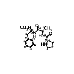 C[C@H](NC(=O)[C@@H]1CCCN1)C(=O)N[C@@H](Cc1ccccc1)C(=O)O